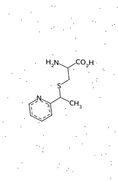 CC(SCC(N)C(=O)O)c1ccccn1